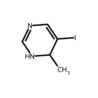 CC1NC=NC=C1I